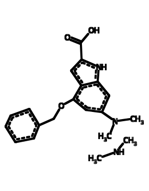 CN(C)c1cc(OCc2ccccc2)c2cc(C(=O)O)[nH]c2c1.CNC